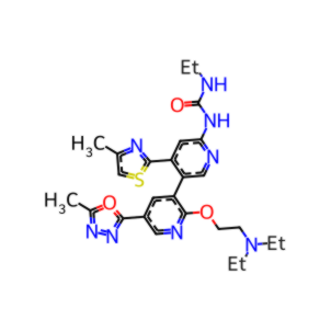 CCNC(=O)Nc1cc(-c2nc(C)cs2)c(-c2cc(-c3nnc(C)o3)cnc2OCCN(CC)CC)cn1